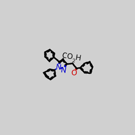 O=C(Cc1nn(-c2ccccc2)c(-c2ccccc2)c1C(=O)O)c1ccccc1